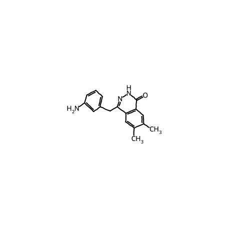 Cc1cc2c(Cc3cccc(N)c3)n[nH]c(=O)c2cc1C